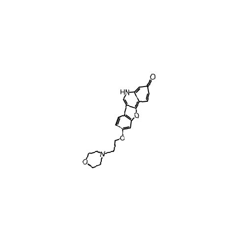 O=c1ccc2c3oc4cc(OCCN5CCOCC5)ccc4c3c[nH]c-2c1